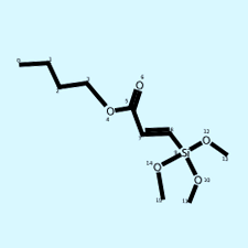 CCCCOC(=O)C=C[Si](OC)(OC)OC